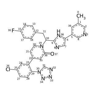 Cc1cncc(-c2cnc(C(Cc3ccc(F)cc3)n3ccc(-c4cc(Cl)ccc4-n4cnnn4)cc3=O)[nH]2)c1